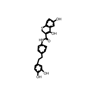 O=C(Nc1ccc(CCc2ccc(O)c(O)c2)cc1)C1=C(O)c2cc(O)ccc2SC1